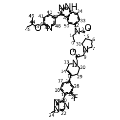 CCN(C(=O)[C@@H]1CCN(CC(=O)N2CC=C(c3ccc(-c4ncn(C)n4)c(F)c3)CC2)C1)c1ccc2[nH]nc(-c3ccc(OC(C)C)nc3)c2c1